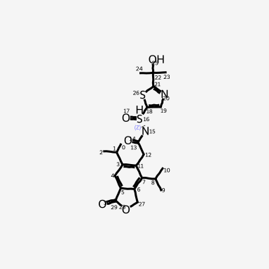 CC(C)c1cc2c(c(C(C)C)c1CC(=O)/N=[SH](=O)/c1cnc(C(C)(C)O)s1)COC2=O